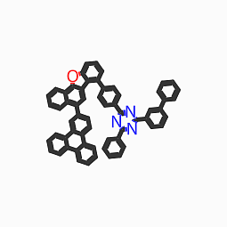 c1ccc(-c2cccc(-c3nc(-c4ccccc4)nc(-c4ccc(-c5cccc6oc7c8ccccc8c(-c8ccc9c%10ccccc%10c%10ccccc%10c9c8)cc7c56)cc4)n3)c2)cc1